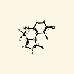 Cc1c(Br)ccc2c1-n1c(C)nnc1C(C)(C)N2